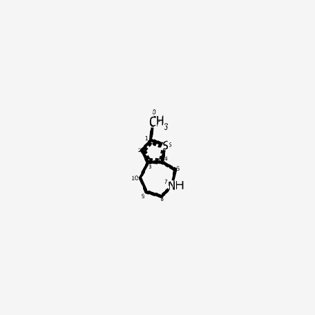 Cc1cc2c(s1)CNCCC2